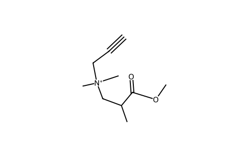 C#CC[N+](C)(C)CC(C)C(=O)OC